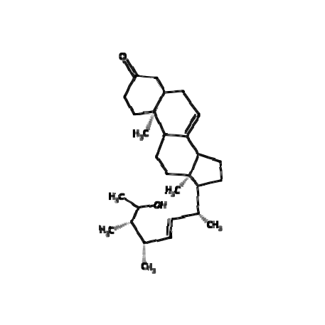 CC(O)[C@@H](C)[C@@H](C)/C=C/[C@@H](C)C1CCC2C3=CCC4CC(=O)CC[C@]4(C)C3CC[C@@]21C